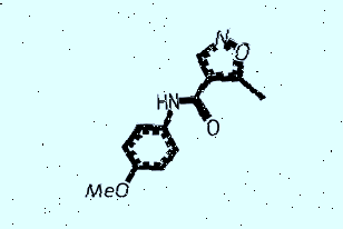 COc1ccc(NC(=O)c2cnoc2C)cc1